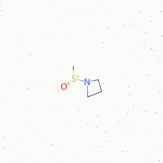 C[S+]([O-])N1CCC1